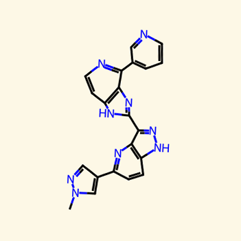 Cn1cc(-c2ccc3[nH]nc(-c4nc5c(-c6cccnc6)nccc5[nH]4)c3n2)cn1